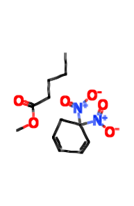 CCCCC(=O)OC.O=[N+]([O-])C1([N+](=O)[O-])C=CC=CC1